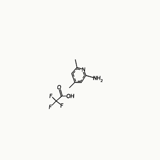 Cc1cc(C)nc(N)c1.O=C(O)C(F)(F)F